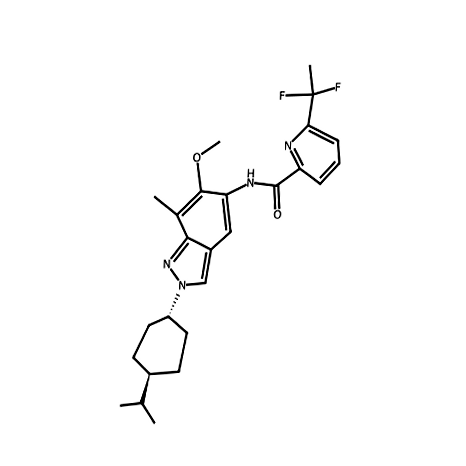 COc1c(NC(=O)c2cccc(C(C)(F)F)n2)cc2cn([C@H]3CC[C@H](C(C)C)CC3)nc2c1C